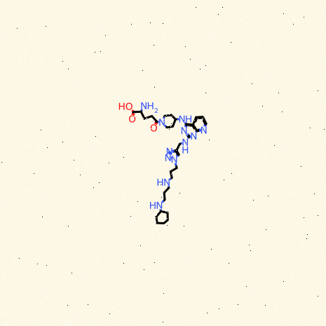 NC(CCC(=O)N1CCC(Nc2nc(NCc3cn(CCCNCCCNC4CCCCC4)nn3)nc3ncccc23)CC1)C(=O)O